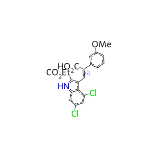 CCOC(=O)c1[nH]c2cc(Cl)cc(Cl)c2c1/C=C(\C(=O)O)c1cccc(OC)c1